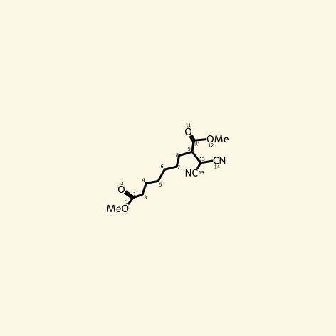 COC(=O)CCCCCCC(C(=O)OC)C(C#N)C#N